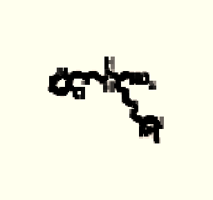 Cn1ncc(CSCCN/C(=C\[N+](=O)[O-])NCCSCc2ncccc2Cl)n1